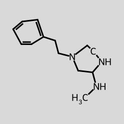 CNC1CN(CCc2ccccc2)CCN1